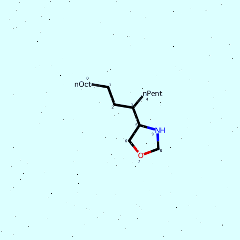 CCCCCCCCCCC(CCCCC)C1COCN1